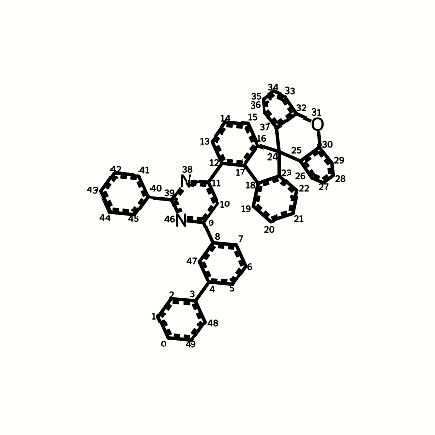 c1ccc(-c2cccc(-c3cc(-c4cccc5c4-c4ccccc4C54c5ccccc5Oc5ccccc54)nc(-c4ccccc4)n3)c2)cc1